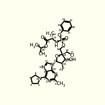 Cc1nc(N2CCCC2)c2ncn([C@@H]3O[C@](CCl)(COP(=O)(N[C@@H](C)C(=O)OC(C)C)Oc4ccccc4)[C@@H](O)[C@H]3F)c2n1